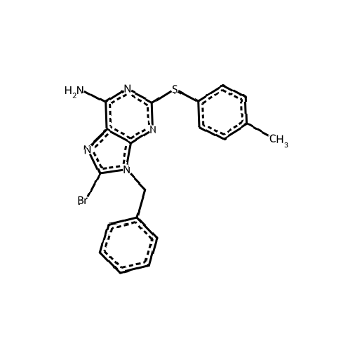 Cc1ccc(Sc2nc(N)c3nc(Br)n(Cc4ccccc4)c3n2)cc1